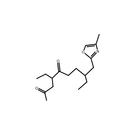 CCC(CCC(=O)C(CC)CC(C)=O)Cc1nc(C)co1